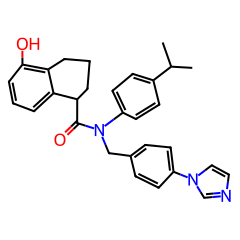 CC(C)c1ccc(N(Cc2ccc(-n3ccnc3)cc2)C(=O)C2CCCc3c(O)cccc32)cc1